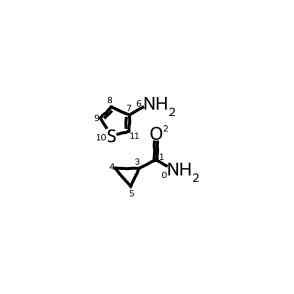 NC(=O)C1CC1.Nc1ccsc1